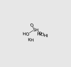 Cl.I.O=[SH](=O)O.[KH]